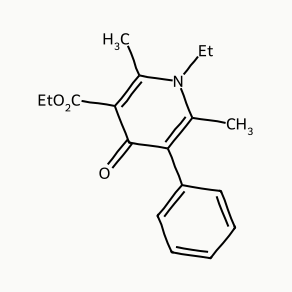 CCOC(=O)c1c(C)n(CC)c(C)c(-c2ccccc2)c1=O